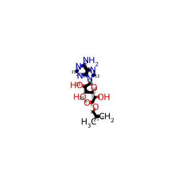 C=C(C)COC(=O)C(O)[C@H]1O[C@@H](n2cnc3c(N)ncnc32)[C@H](O)[C@@H]1O